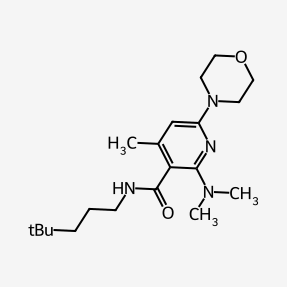 Cc1cc(N2CCOCC2)nc(N(C)C)c1C(=O)NCCCC(C)(C)C